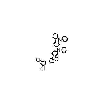 Clc1cc(Cl)cc(-c2ccc3oc4cc(N(c5ccccc5)c5ccc6c7ccccc7n(-c7ccccc7)c6c5)ccc4c3c2)c1